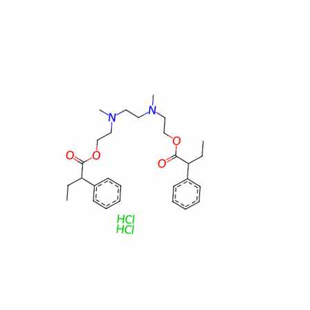 CCC(C(=O)OCCN(C)CCN(C)CCOC(=O)C(CC)c1ccccc1)c1ccccc1.Cl.Cl